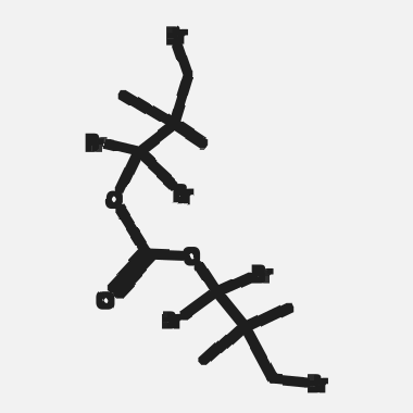 CC(C)(CBr)C(Br)(Br)OC(=O)OC(Br)(Br)C(C)(C)CBr